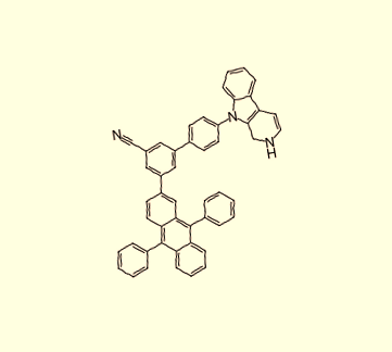 N#Cc1cc(-c2ccc(-n3c4c(c5ccccc53)C=CNC4)cc2)cc(-c2ccc3c(-c4ccccc4)c4ccccc4c(-c4ccccc4)c3c2)c1